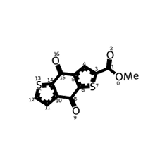 COC(=O)c1cc2c(s1)C(=O)c1ccsc1C2=O